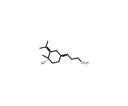 CC(C)=C1CC(=CCCC(=O)O)CC[C@]1(C)C(C)C